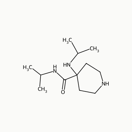 CC(C)NC(=O)C1(NC(C)C)CCNCC1